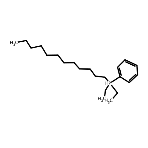 CCCCCCCCCCCC[PH](CC)(CC)c1ccccc1